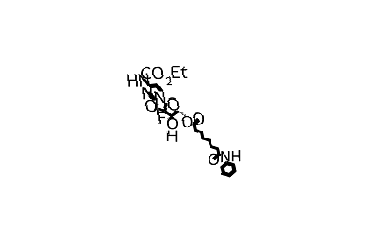 CCOC(=O)Nc1ccn([C@@H]2O[C@H](COC(=O)CCCCCCC(=O)Nc3ccccc3)[C@@H](O)C2(F)I)c(=O)n1